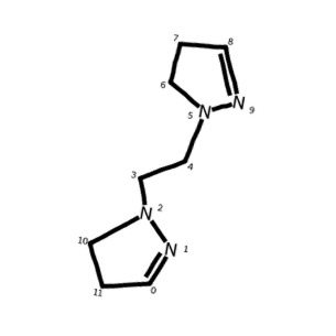 C1=NN(CCN2CCC=N2)CC1